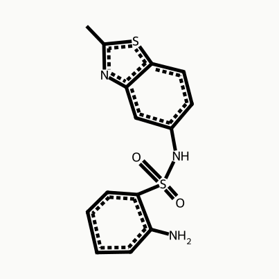 Cc1nc2cc(NS(=O)(=O)c3ccccc3N)ccc2s1